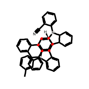 Cc1cccc(-n2c3ccccc3c3cccc(-c4ccccc4-c4ccccc4C4=CC5C6C=CC=CC6N(c6ccccc6C#N)[C@H]5CC4)c32)c1